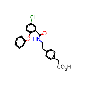 O=C(O)Cc1ccc(CCNC(=O)c2cc(Cl)ccc2Oc2ccccc2)cc1